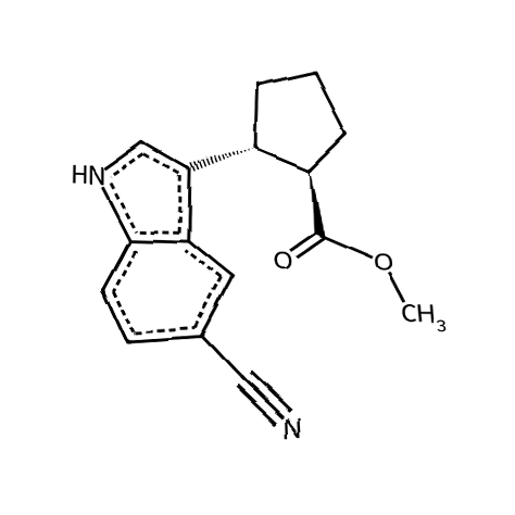 COC(=O)[C@@H]1CCC[C@H]1c1c[nH]c2ccc(C#N)cc12